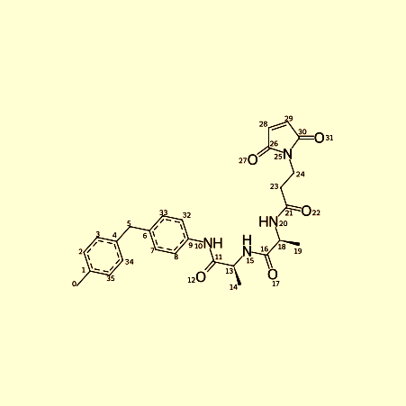 Cc1ccc(Cc2ccc(NC(=O)[C@H](C)NC(=O)[C@H](C)NC(=O)CCN3C(=O)C=CC3=O)cc2)cc1